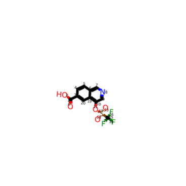 O=C(O)c1ccc2cncc(OS(=O)(=O)C(F)(F)F)c2c1